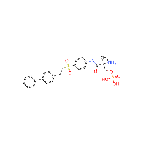 C[C@](N)(COP(=O)(O)O)C(=O)Nc1ccc(S(=O)(=O)CCc2ccc(-c3ccccc3)cc2)cc1